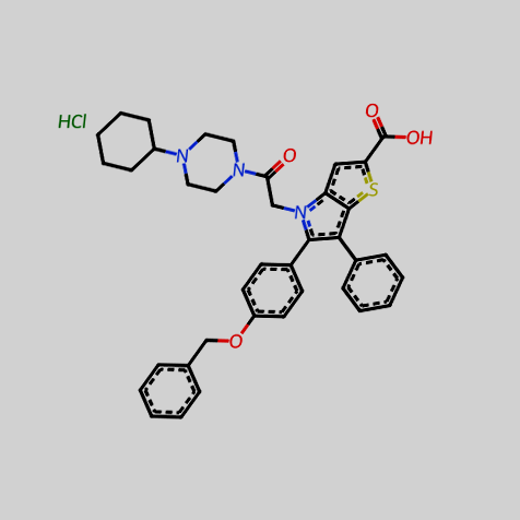 Cl.O=C(O)c1cc2c(s1)c(-c1ccccc1)c(-c1ccc(OCc3ccccc3)cc1)n2CC(=O)N1CCN(C2CCCCC2)CC1